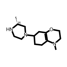 C[C@@H]1CN(C2CCC3=C(C2)OCCN3C)CCN1